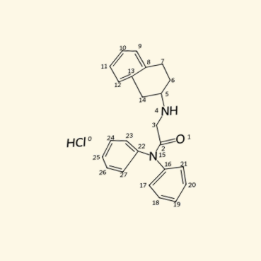 Cl.O=C(CNC1CCc2ccccc2C1)N(c1ccccc1)c1ccccc1